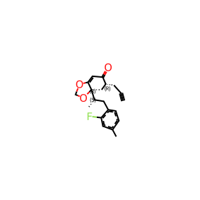 C#CC[C@@H]1C[C@]2([C@@H](C)Cc3ccc(C)cc3F)OCOC2=CC1=O